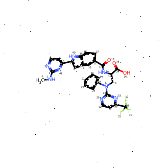 CNc1nccc(-c2cc3cc(C(=O)NC(CN(c4ccccc4)c4nccc(C(F)(F)F)n4)C(=O)O)ccc3[nH]2)n1